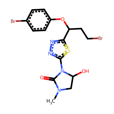 CN1CC(O)N(c2nnc(C(CCBr)Oc3ccc(Br)cc3)s2)C1=O